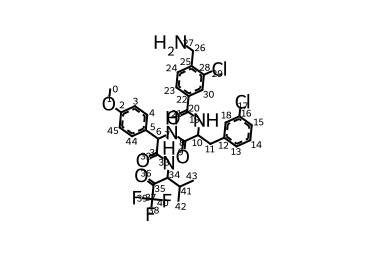 COc1ccc(C(NC(=O)C(Cc2cccc(Cl)c2)NC(=O)c2ccc(CN)c(Cl)c2)C(=O)NC(C(=O)C(F)(F)F)C(C)C)cc1